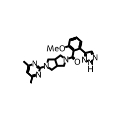 COc1cccc(-c2cn[nH]n2)c1C(=O)N1CC2CN(c3nc(C)cc(C)n3)CC2C1